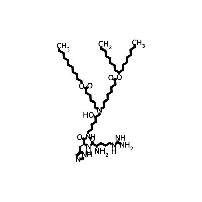 CCCCCCCCCCCOC(=O)CCCCCN(CCCCCCCC(=O)OC(CCCCCCCC)CCCCCCCC)CC(O)CCCCNC(=O)[C@H](Cc1cnc[nH]1)NC(=O)[C@H](N)CCCNC(=N)N